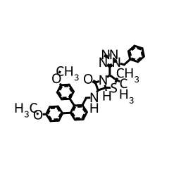 COc1ccc(-c2cccc(CNC3C(=O)N4C(c5nnnn5Cc5ccccc5)C(C)(C)S[C@H]34)c2-c2ccc(OC)cc2)cc1